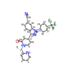 C[C@@H](c1ccccn1)n1ccc(-c2nn(-c3ccc(C(F)(F)F)cc3)c3cc(C#N)ccc23)cc1=O